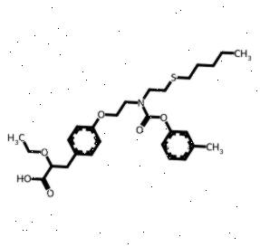 CCCCCSCCN(CCOc1ccc(CC(OCC)C(=O)O)cc1)C(=O)Oc1cccc(C)c1